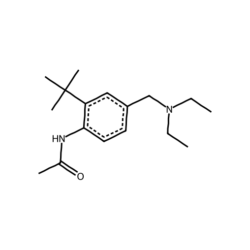 CCN(CC)Cc1ccc(NC(C)=O)c(C(C)(C)C)c1